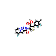 COC(=O)c1c(NC(=O)c2cc3c(F)cccn3n2)csc1-c1ccc(C)c(F)c1F